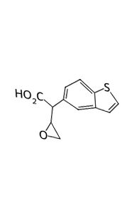 O=C(O)C(c1ccc2sccc2c1)C1CO1